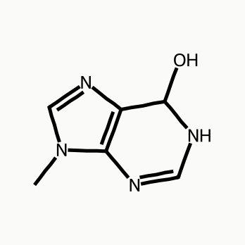 Cn1cnc2c1N=CNC2O